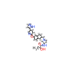 CC(O)C(=O)NC1CCN(Cc2ccc3cc(Oc4ccc(-c5ccn[nH]5)cn4)ccc3c2)C1